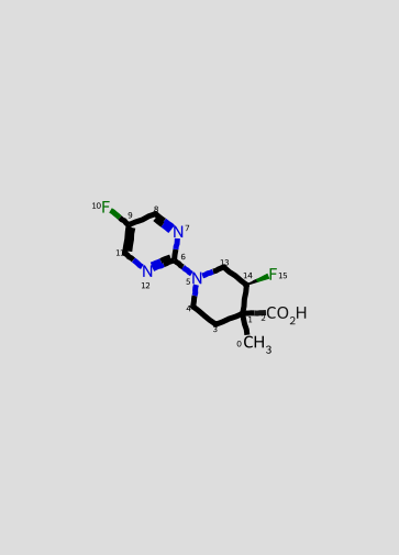 CC1(C(=O)O)CCN(c2ncc(F)cn2)C[C@H]1F